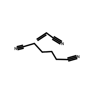 C=CC#N.N#CCCCCC#N